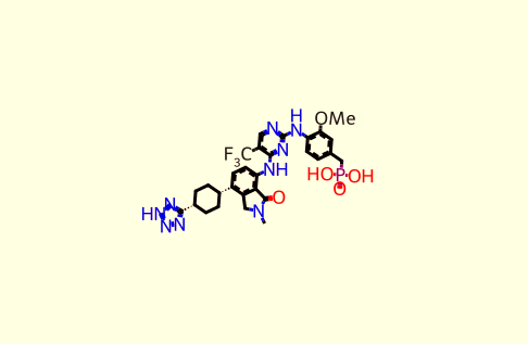 COc1cc(CP(=O)(O)O)ccc1Nc1ncc(C(F)(F)F)c(Nc2ccc([C@H]3CC[C@@H](c4nn[nH]n4)CC3)c3c2C(=O)N(C)C3)n1